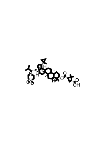 CC(C)[C@H](CN[C@]12CC[C@@H](C3(C)CC3)[C@@H]1[C@H]1CCC3[C@@]4(C)CC[C@H](OC(=O)[C@H]5C[C@@H](C(=O)O)C5(C)C)C(C)(C)[C@@H]4CC[C@@]3(C)[C@]1(C)CC2)N1CCS(=O)(=O)CC1